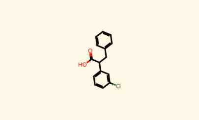 O=C(O)C(Cc1ccccc1)c1cccc(Cl)c1